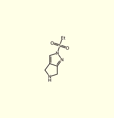 CCS(=O)(=O)n1cc2c(n1)CNC2